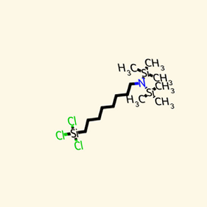 C[Si](C)(C)N(CCCCCCCC[Si](Cl)(Cl)Cl)[Si](C)(C)C